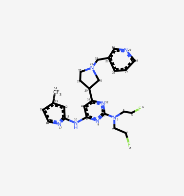 FCCN(CCF)c1nc(Nc2cc(C(F)(F)F)ccn2)cc(C2CCN(Cc3cccnc3)C2)n1